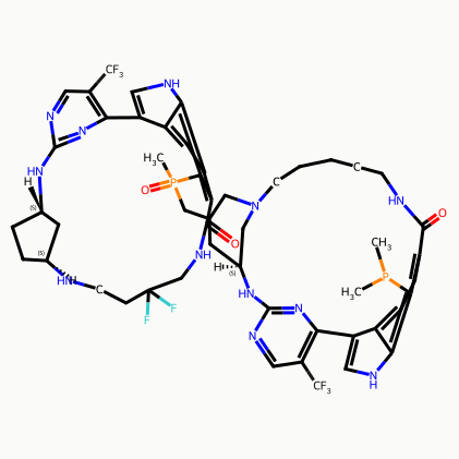 CP(C)c1c2ccc3c(c[nH]c13)-c1nc(ncc1C(F)(F)F)N[C@H]1CC(CP(C)(=O)c3c4ccc5c(c[nH]c35)-c3nc(ncc3C(F)(F)F)N[C@H]3CC[C@@H](C3)NCCC(F)(F)CNC4=O)CN(CCCCCNC2=O)C1